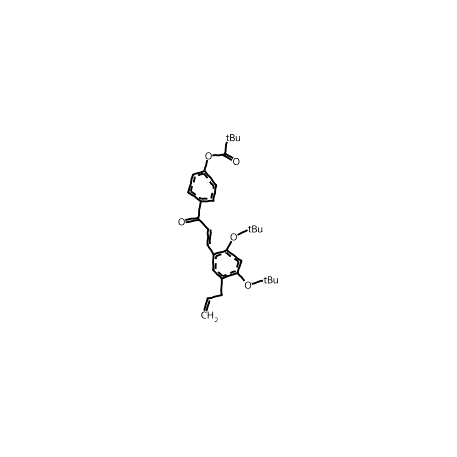 C=CCc1cc(/C=C/C(=O)c2ccc(OC(=O)C(C)(C)C)cc2)c(OC(C)(C)C)cc1OC(C)(C)C